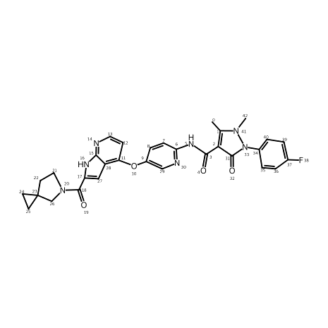 Cc1c(C(=O)Nc2ccc(Oc3ccnc4[nH]c(C(=O)N5CCC6(CC6)C5)cc34)cn2)c(=O)n(-c2ccc(F)cc2)n1C